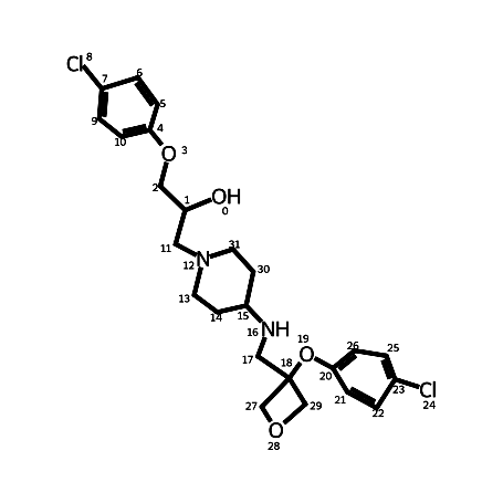 OC(COc1ccc(Cl)cc1)CN1CCC(NCC2(Oc3ccc(Cl)cc3)COC2)CC1